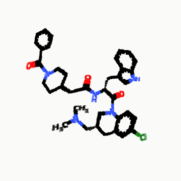 CN(C)C[C@H]1Cc2cc(Cl)ccc2N(C(=O)[C@@H](Cc2c[nH]c3ccccc23)NC(=O)CC2CCN(C(=O)c3ccccc3)CC2)C1